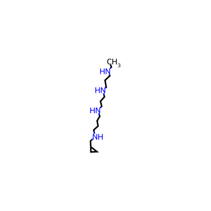 CCNCCCNCCCNCCCCNCC1CC1